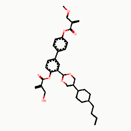 C=C(COC)C(=O)Oc1ccc(-c2ccc(OC(=O)C(=C)CO)c(C3OCC(C4CCC(CCCC)CC4)CO3)c2)cc1